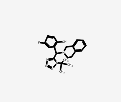 CC(C)(C)n1nnnc1C(c1cc(F)ccc1O)N1CCc2ccccc2C1